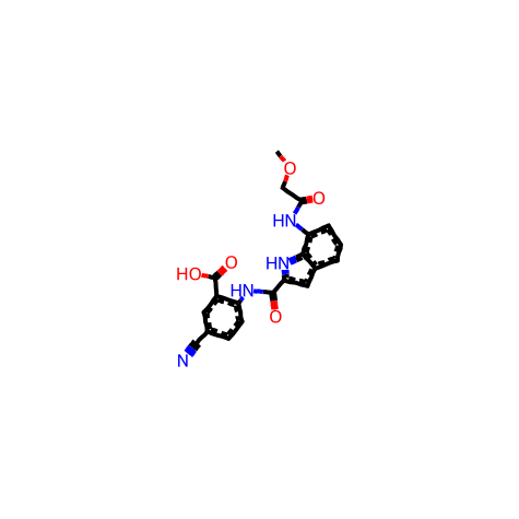 COCC(=O)Nc1cccc2cc(C(=O)Nc3ccc(C#N)cc3C(=O)O)[nH]c12